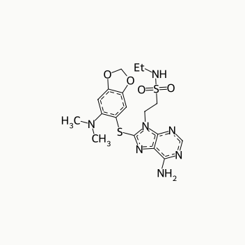 CCNS(=O)(=O)CCn1c(Sc2cc3c(cc2N(C)C)OCO3)nc2c(N)ncnc21